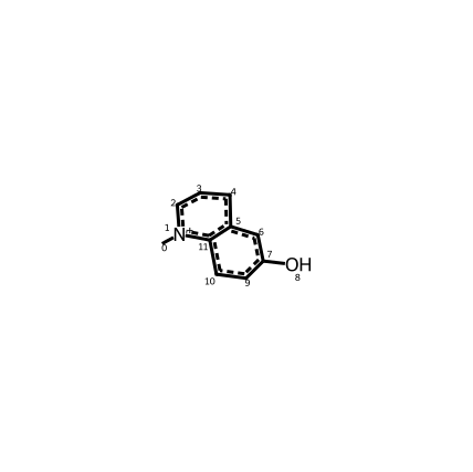 C[n+]1cccc2cc(O)ccc21